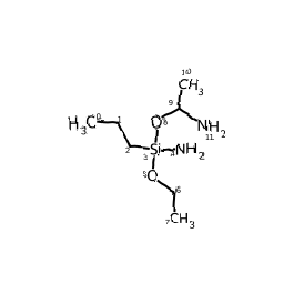 CCC[Si](N)(OCC)OC(C)N